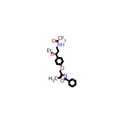 CCOC(CCNC(=O)C(F)(F)F)c1ccc(OCc2nc(-c3ccccc3)oc2C)cc1